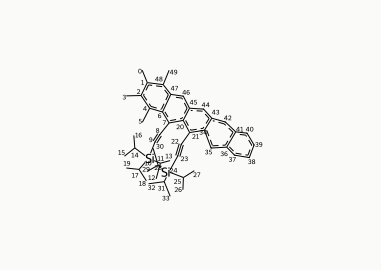 Cc1c(C)c(C)c2c(C#C[Si](C(C)C)(C(C)C)C(C)C)c3c(C#C[Si](C(C)C)(C(C)C)C(C)C)c4cc5ccccc5cc4cc3cc2c1C